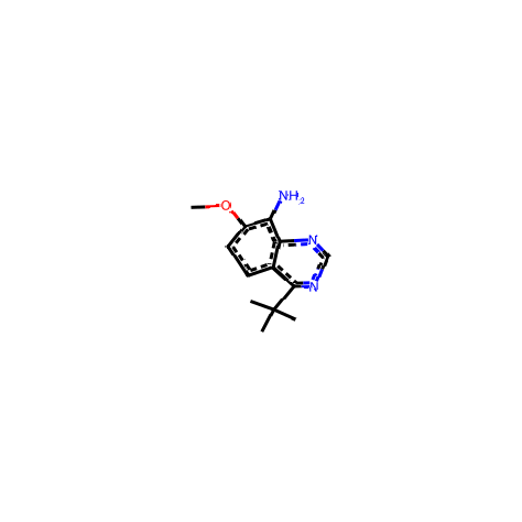 COc1ccc2c(C(C)(C)C)ncnc2c1N